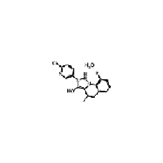 CC1Cc2cccc(F)c2N2NN(c3ccc(Cl)nc3)C(O)=C12.O